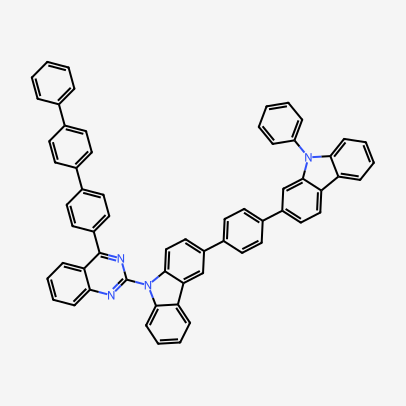 c1ccc(-c2ccc(-c3ccc(-c4nc(-n5c6ccccc6c6cc(-c7ccc(-c8ccc9c%10ccccc%10n(-c%10ccccc%10)c9c8)cc7)ccc65)nc5ccccc45)cc3)cc2)cc1